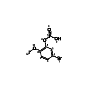 O=[PH](O)Oc1cc(Br)ccc1OI